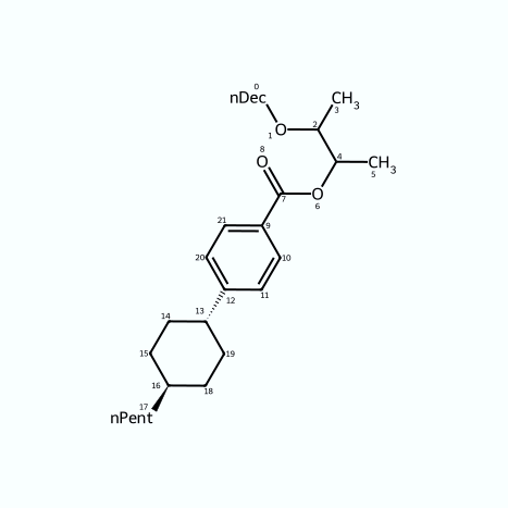 CCCCCCCCCCOC(C)C(C)OC(=O)c1ccc([C@H]2CC[C@H](CCCCC)CC2)cc1